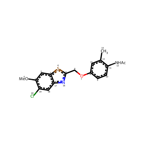 COc1cc2sc(COc3ccc(NC(C)=O)c(C)c3)nc2cc1Cl